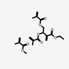 C=C(C)C(=O)OC.C=C(C)C(=O)OCC(OC(=O)C(=C)C)C(=C)C(=O)OCC